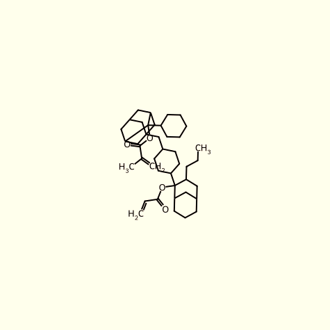 C=CC(=O)OC1(C2CCC(CC34CC5CC(C3)C(OC(=O)C(=C)C)(C3CCCCC3)C(C5)C4)CC2)C(CCC)CC2CCCC1C2